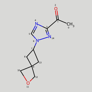 CC(=O)c1ncn(C2CC3(COC3)C2)n1